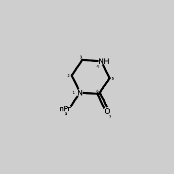 CCCN1CCNCC1=O